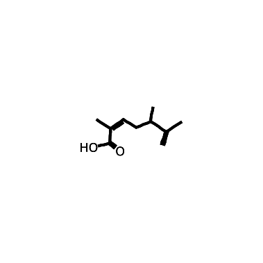 C=C(C)C(C)CC=C(C)C(=O)O